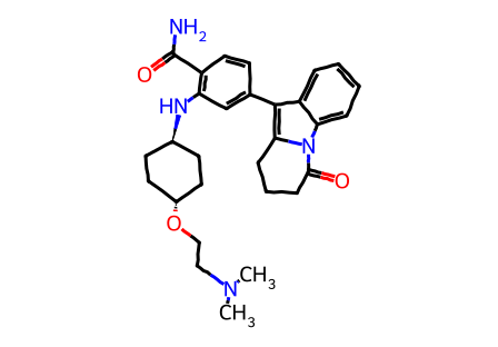 CN(C)CCO[C@H]1CC[C@H](Nc2cc(-c3c4n(c5ccccc35)C(=O)CCC4)ccc2C(N)=O)CC1